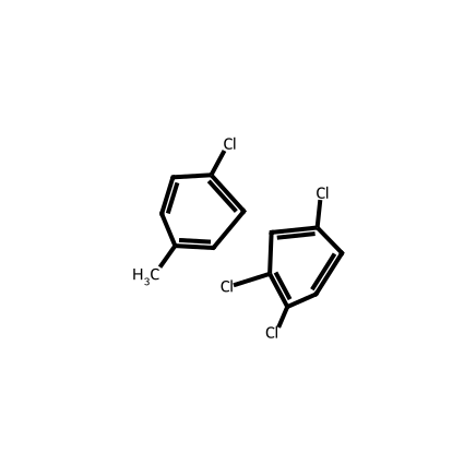 Cc1ccc(Cl)cc1.Clc1ccc(Cl)c(Cl)c1